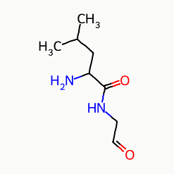 CC(C)CC(N)C(=O)NCC=O